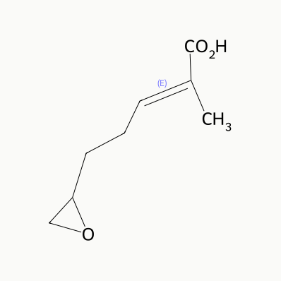 C/C(=C\CCC1CO1)C(=O)O